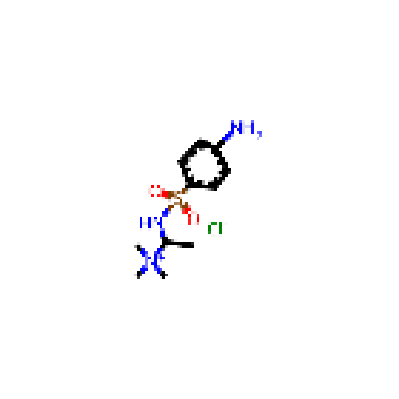 CC(NS(=O)(=O)c1ccc(N)cc1)[N+](C)(C)C.[Cl-]